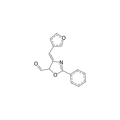 O=CC1OC(c2ccccc2)=NC1=Cc1ccoc1